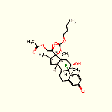 CCCCOC(=O)O[C@]1(C(=O)COC(C)=O)[C@H](C)C[C@H]2[C@@H]3CCC4=CC(=O)C=C[C@]4(C)[C@@]3(F)[C@@H](O)C[C@@]21C